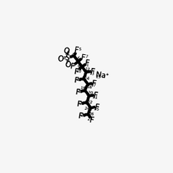 O=S(=O)([O-])C(F)C(F)(F)C(F)(F)C(F)C(F)C(F)C(F)C(F)C(F)C(F)C(F)F.[Na+]